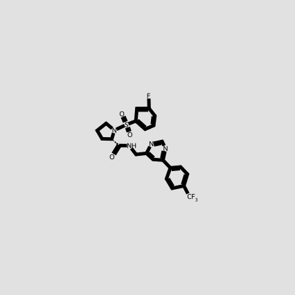 O=C(NCc1cc(-c2ccc(C(F)(F)F)cc2)ncn1)[C@@H]1CCCN1S(=O)(=O)c1cccc(F)c1